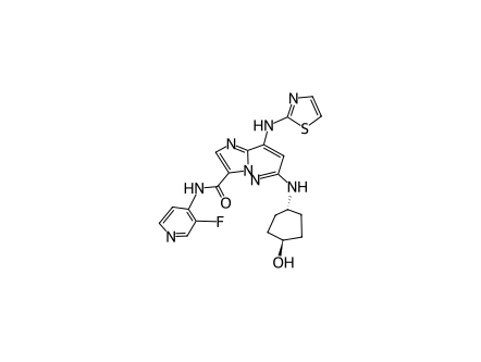 O=C(Nc1ccncc1F)c1cnc2c(Nc3nccs3)cc(N[C@H]3CC[C@H](O)CC3)nn12